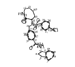 O=C(N[C@H]1CCc2ccccc21)c1ccc(CN([C@@H]2CCCCNC2=O)S(=O)(=O)c2ccc(Cl)cc2)cc1